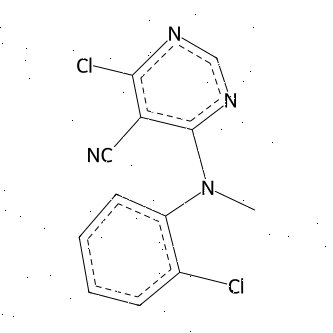 CN(c1ccccc1Cl)c1ncnc(Cl)c1C#N